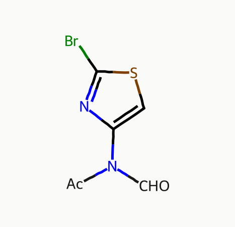 CC(=O)N(C=O)c1csc(Br)n1